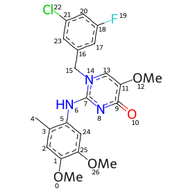 COc1cc(C)c(Nc2nc(=O)c(OC)cn2Cc2cc(F)cc(Cl)c2)cc1OC